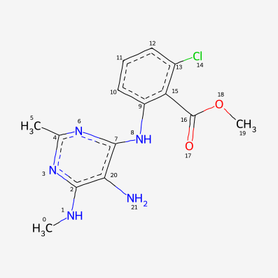 CNc1nc(C)nc(Nc2cccc(Cl)c2C(=O)OC)c1N